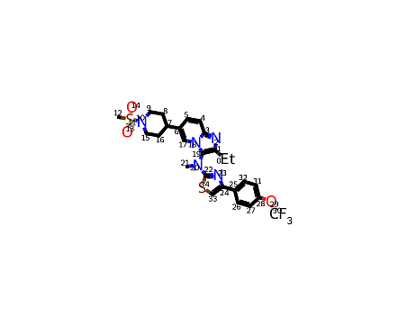 CCc1nc2ccc(C3CCN(S(C)(=O)=O)CC3)cn2c1N(C)c1nc(-c2ccc(OC(F)(F)F)cc2)cs1